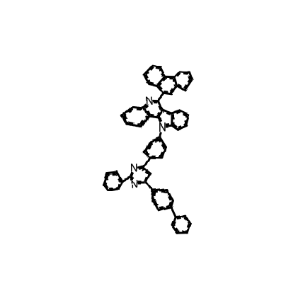 c1ccc(-c2ccc(-c3cc(-c4ccc(-n5c6ccccc6c6c(-c7cc8ccccc8c8ccccc78)nc7ccccc7c65)cc4)nc(-c4ccccc4)n3)cc2)cc1